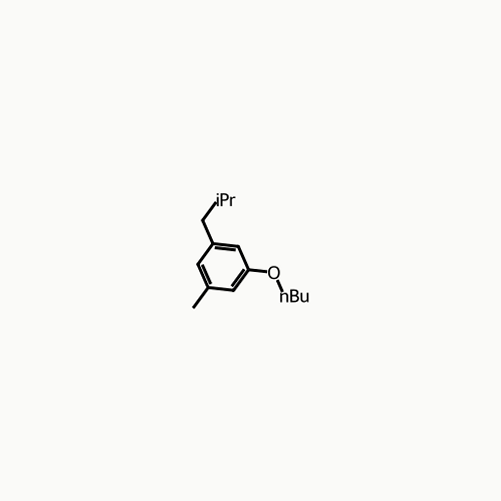 CCCCOc1cc(C)cc(CC(C)C)c1